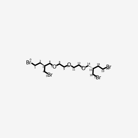 BrCC[C@H](CBr)COCCOCCOC[C@@H](CBr)CCBr